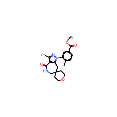 CCCOC(=O)c1ccc(C)c(-n2nc(CC)c3c2CC2(CCOCC2)CNC3=O)c1